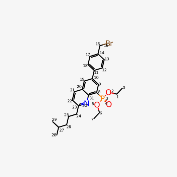 CCOP(=O)(OCC)c1cc(-c2ccc(CBr)cc2)cc2ccc(CCCC(C)C)nc12